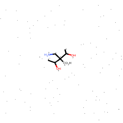 CC(O)C(CN)(C(=O)O)C(C)O